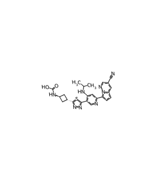 CC(C)Nc1cc(-c2ccc3cc(C#N)cnn23)ncc1-c1nnc([C@H]2C[C@H](NC(=O)O)C2)s1